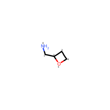 NCC1CCO1